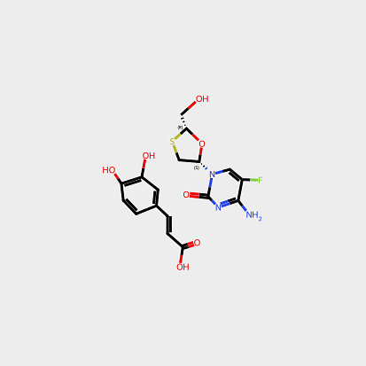 Nc1nc(=O)n([C@@H]2CS[C@H](CO)O2)cc1F.O=C(O)C=Cc1ccc(O)c(O)c1